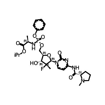 CC(C)OC(=O)[C@@H](C)NP(=O)(OC[C@H]1O[C@@H](n2ccc(NC(=O)[C@@H]3CCCN3C)nc2=O)[C@](C)(F)[C@@H]1O)Oc1ccccc1